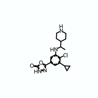 CC(Nc1cc(-c2n[nH]c(=O)o2)cc(C2CC2)c1Cl)C1CCNCC1